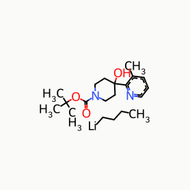 Cc1cccnc1C1(O)CCN(C(=O)OC(C)(C)C)CC1.[Li][CH2]CCC